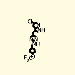 FC(F)(F)Oc1ccc(CNc2ncc(Cc3c[nH]c4ncc(Cl)cc34)cn2)cc1